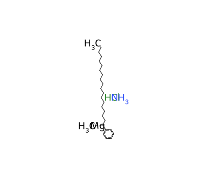 CCCCCCCCCCCCCCCCCC[CH]([Mg][CH3])c1ccccc1.Cl.N